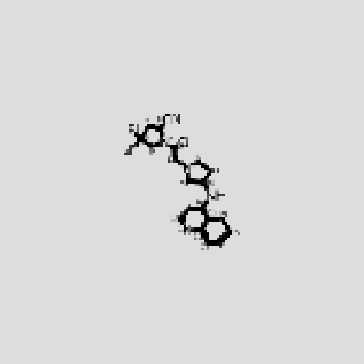 N#CC1CC(F)(F)CN1C(=O)CN1CCC(Nc2ccnc3ccccc23)C1